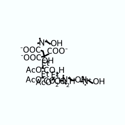 CCC(OC(C)=O)C(=O)O.CCC(OC(C)=O)C(=O)O.CCC(OC(C)=O)C(=O)O.C[N+](C)(C)CCO.C[N+](C)(C)CCO.C[N+](C)(C)CCO.O=C([O-])CC(O)(CC(=O)[O-])C(=O)[O-]